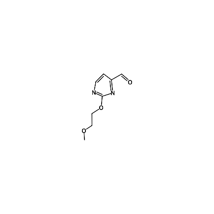 COCCOc1nccc(C=O)n1